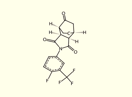 O=C1C[C@@H]2CC[C@H]1[C@@H]1C(=O)N(c3ccc(F)c(C(F)(F)F)c3)C(=O)[C@H]21